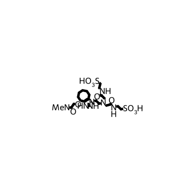 CNC(=O)COC1CCCCCC2=C1NNN2CCN(CC(=O)NCCS(=O)(=O)O)CC(=O)NCCS(=O)(=O)O